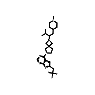 CC(C)C(CC1CCN(C)CC1)N1CC2(CCN(c3ncnc4sc(CC(F)(F)F)cc34)C2)C1